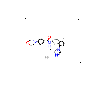 Cc1ccc(N2CCN(C)CC2)c2c1CC[C@@H](NC(=O)c1ccc(N3CCOCC3)cc1)C2.[H+]